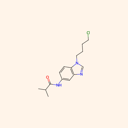 CC(C)C(=O)Nc1ccc2c(c1)ncn2CCCCCl